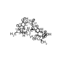 C=C1C[C@H]2C(NOCCCCO)Nc3cc(OCCP(=O)(CCOc4cc5c(cc4OC)C(=O)N4CC(=C)C[C@H]4C(S(=O)(=O)O)N5)OCC)c(OC)cc3C(=O)N2C1